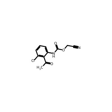 CC(=O)c1c(Cl)cccc1NC(=O)OCC#N